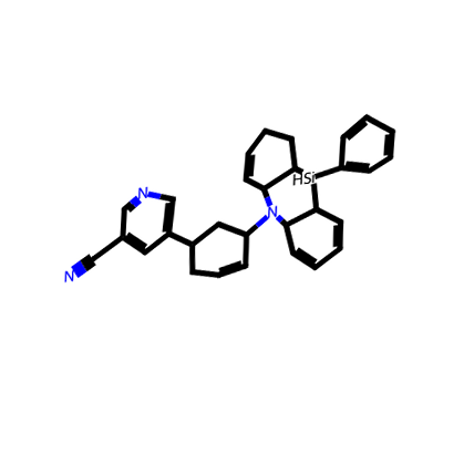 N#Cc1cncc(C2CC=CC(N3C4C=CC=CC4[SiH](c4ccccc4)C4CCC=CC43)C2)c1